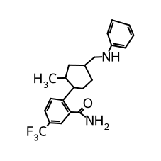 CC1CC(CNc2ccccc2)CCC1c1ccc(C(F)(F)F)cc1C(N)=O